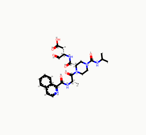 CC(C)NC(=O)N1CCN(C(=O)[C@H](C)NC(=O)c2nccc3ccccc23)[C@H](C(=O)N[C@H](C=O)CC(=O)O)C1